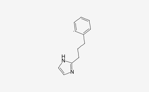 [c]1ccccc1CCCc1ncc[nH]1